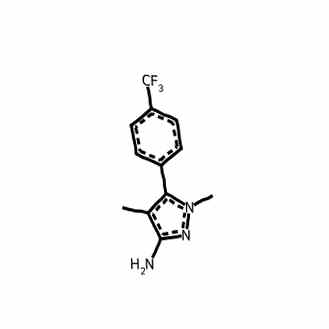 Cc1c(N)nn(C)c1-c1ccc(C(F)(F)F)cc1